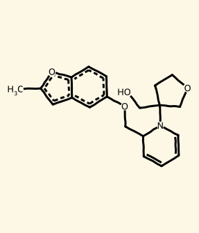 Cc1cc2cc(OCC3C=CC=CN3C3(CO)CCOC3)ccc2o1